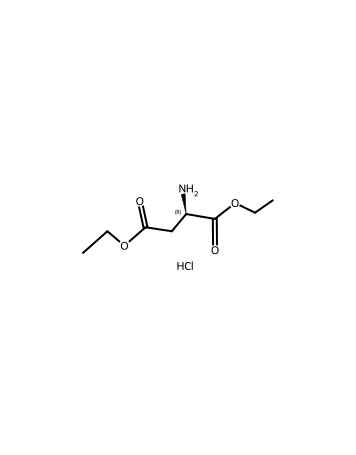 CCOC(=O)C[C@@H](N)C(=O)OCC.Cl